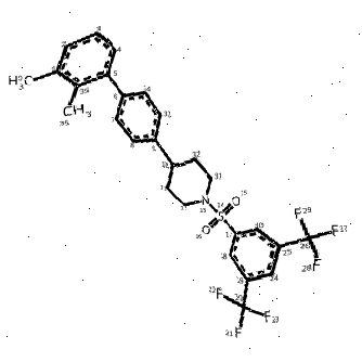 Cc1cccc(-c2ccc(C3CCN(S(=O)(=O)c4cc(C(F)(F)F)cc(C(F)(F)F)c4)CC3)cc2)c1C